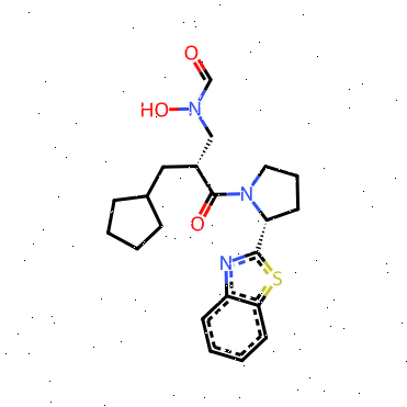 O=CN(O)C[C@@H](CC1CCCC1)C(=O)N1CCC[C@@H]1c1nc2ccccc2s1